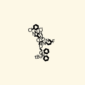 CC(C)(C)[Si](OCCOCC(Oc1ncnc2c1cnn2-c1c(Cl)cccc1Cl)C(=O)Nc1ccc(F)cn1)(c1ccccc1)c1ccccc1